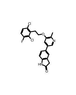 Cc1ncc(-c2ccc3c(c2)CC(=O)N3)cc1OCCc1c(Cl)ccc(F)c1Cl